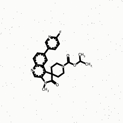 CC(C)OC(=O)N1CCC2(CC1)C(=O)N(C)c1cnc3ccc(-c4ccc(F)nc4)cc3c12